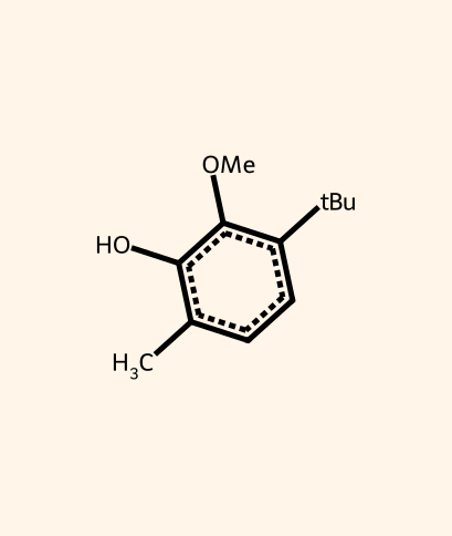 COc1c(C(C)(C)C)ccc(C)c1O